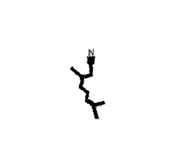 CC(C)=CCCC(C)CC#N